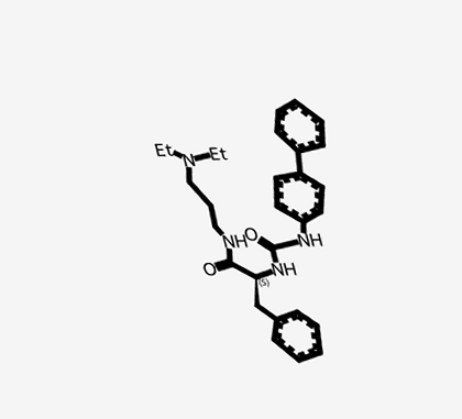 CCN(CC)CCCNC(=O)[C@H](Cc1ccccc1)NC(=O)Nc1ccc(-c2ccccc2)cc1